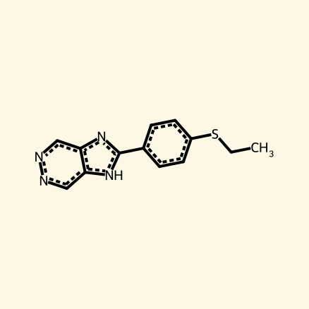 CCSc1ccc(-c2nc3cnncc3[nH]2)cc1